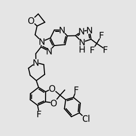 CC1(c2ccc(Cl)cc2F)Oc2c(F)ccc(C3CCN(Cc4nc5cc(-c6nnc(C(F)(F)F)[nH]6)ncc5n4CC4CCO4)CC3)c2O1